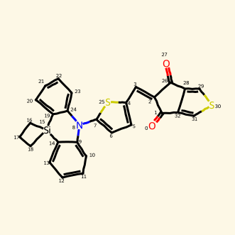 O=C1C(=Cc2ccc(N3c4ccccc4[Si]4(CCC4)c4ccccc43)s2)C(=O)c2cscc21